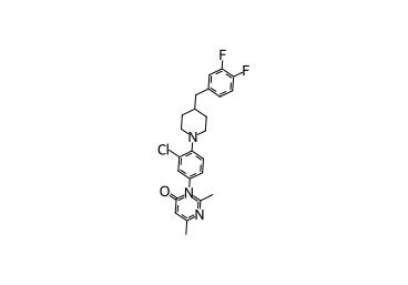 Cc1cc(=O)n(-c2ccc(N3CCC(Cc4ccc(F)c(F)c4)CC3)c(Cl)c2)c(C)n1